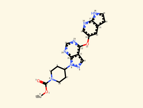 CC(C)(C)OC(=O)N1CCC(n2ncc3c(Oc4cnc5[nH]ccc5c4)ncnc32)CC1